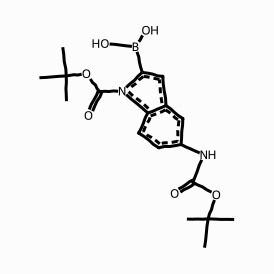 CC(C)(C)OC(=O)Nc1ccc2c(c1)cc(B(O)O)n2C(=O)OC(C)(C)C